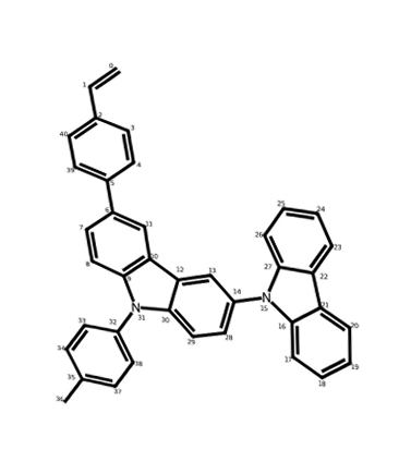 C=Cc1ccc(-c2ccc3c(c2)c2cc(-n4c5ccccc5c5ccccc54)ccc2n3-c2ccc(C)cc2)cc1